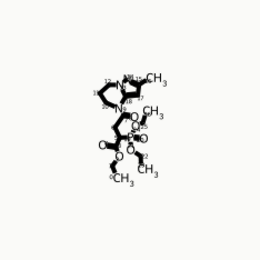 CCOC(=O)C(CC(=O)N1CCCn2nc(C)cc21)P(=O)(OCC)OCC